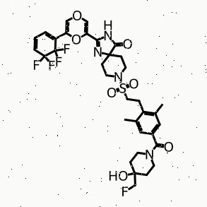 Cc1cc(C(=O)N2CCC(O)(CF)CC2)cc(C)c1CCS(=O)(=O)N1CCC2(CC1)N=C(C1=COC=C(C3=CC=CC(F)(F)C3(F)F)O1)NC2=O